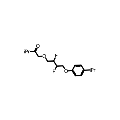 CC(C)C(=O)COCC(F)C(F)COc1ccc(C(C)C)cc1